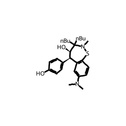 CCCCC1(CCCC)[C@H](O)[C@H](c2ccc(O)cc2)c2cc(N(C)C)ccc2SN1C